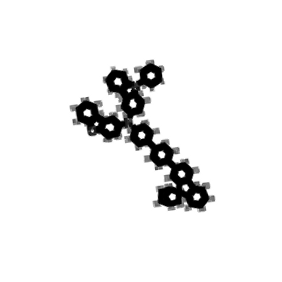 c1ccc(-n2c3ccccc3c3cc(N(c4ccc(-c5ccc(-c6ccc7c(c6)C6(CC8CCC6C8)c6ccccc6-7)cc5)cc4)c4ccc5oc6ccccc6c5c4)ccc32)cc1